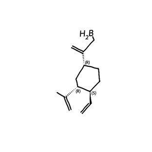 BCC(=C)[C@@H]1CC[C@@H](C=C)[C@H](C(=C)C)C1